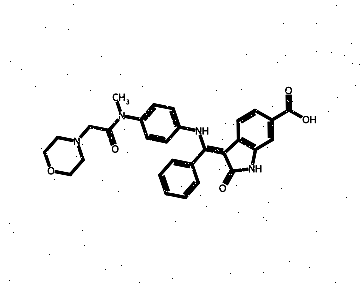 CN(C(=O)CN1CCOCC1)c1ccc(NC(=C2C(=O)Nc3cc(C(=O)O)ccc32)c2ccccc2)cc1